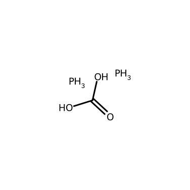 O=C(O)O.P.P